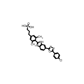 Cc1cc(CCCP(=O)(O)O)cc(C)c1-c1nc2ccc(-c3nnc(-c4ccc(Cl)cc4)o3)cc2[nH]1